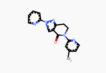 O=C1c2cn(-c3ccccn3)nc2CCN1c1cc(C(F)(F)F)ccn1